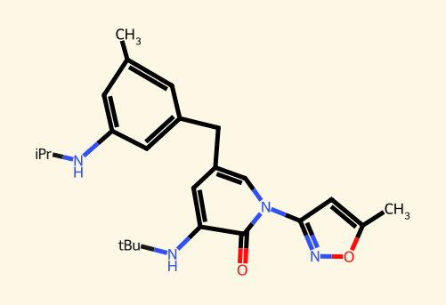 Cc1cc(Cc2cc(NC(C)(C)C)c(=O)n(-c3cc(C)on3)c2)cc(NC(C)C)c1